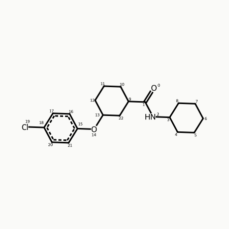 O=C(NC1CCCCC1)C1CCCC(Oc2ccc(Cl)cc2)C1